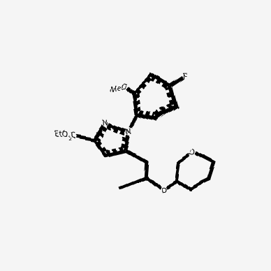 CCOC(=O)c1cc(CC(C)OC2CCCOC2)n(-c2ccc(F)cc2OC)n1